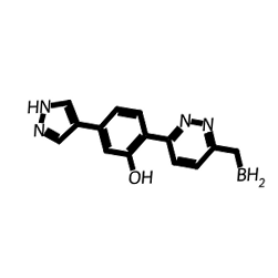 BCc1ccc(-c2ccc(-c3cn[nH]c3)cc2O)nn1